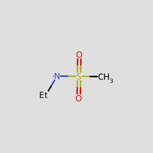 CC[N]S(C)(=O)=O